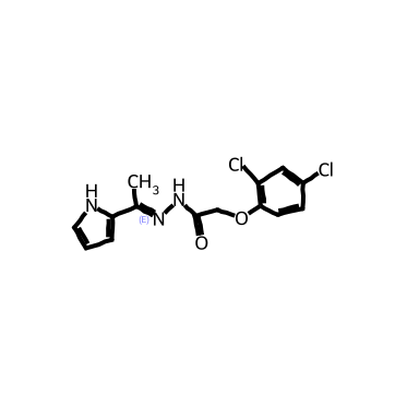 C/C(=N\NC(=O)COc1ccc(Cl)cc1Cl)c1ccc[nH]1